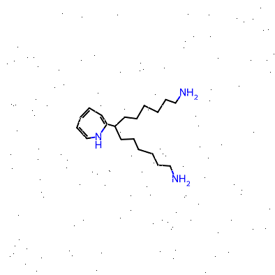 NCCCCCCC(CCCCCCN)C1=CC=CC=CN1